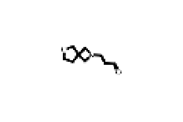 O=CCCN1CC2(CCOC2)C1